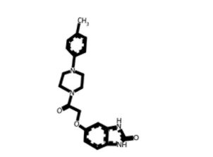 Cc1ccc(N2CCN(C(=O)COc3ccc4[nH]c(=O)[nH]c4c3)CC2)cc1